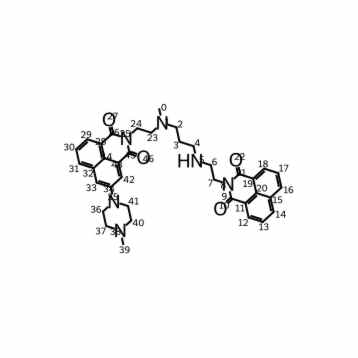 CN(CCCNCCN1C(=O)c2cccc3cccc(c23)C1=O)CCN1C(=O)c2cccc3cc(N4CCN(C)CC4)cc(c23)C1=O